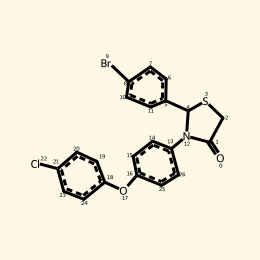 O=C1CSC(c2ccc(Br)cc2)N1c1ccc(Oc2ccc(Cl)cc2)cc1